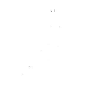 CC(=O)N1CCC(c2cccc(CN)c2)CC1